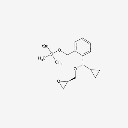 CC(C)(C)[Si](C)(C)OCc1ccccc1[C@@H](OC[C@H]1CO1)C1CC1